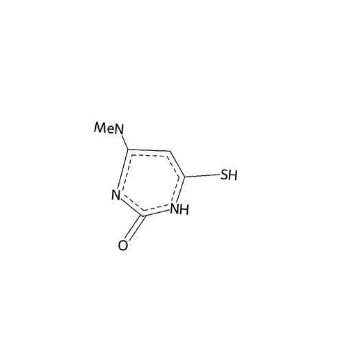 CNc1cc(S)[nH]c(=O)n1